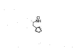 C[C@@H](Cc1ccsc1)NCl